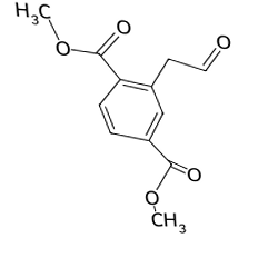 COC(=O)c1ccc(C(=O)OC)c(CC=O)c1